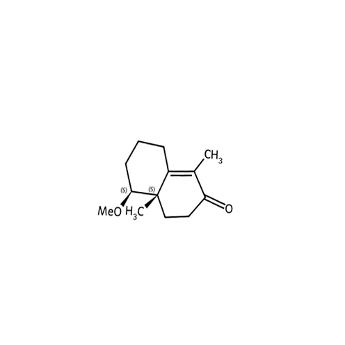 CO[C@H]1CCCC2=C(C)C(=O)CC[C@@]21C